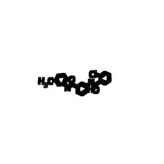 Cc1ccc2oc(-c3cccc(NC(=O)c4ccccc4Cl)c3)nc2c1